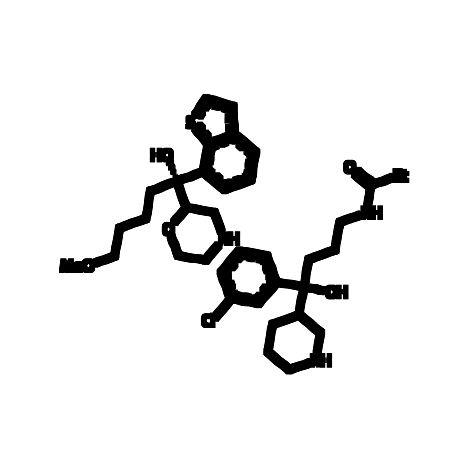 CCC(=O)NCCCC(O)(c1cccc(Cl)c1)C1CCCNC1.COCCCC[C@@](O)(c1cccc2ccsc12)C1CNCCO1